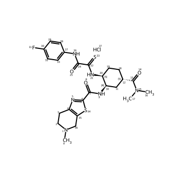 CN1CCc2nc(C(=O)N[C@@H]3C[C@@H](C(=O)N(C)C)CC[C@@H]3NC(=S)C(=O)Nc3ccc(F)cc3)sc2C1.Cl